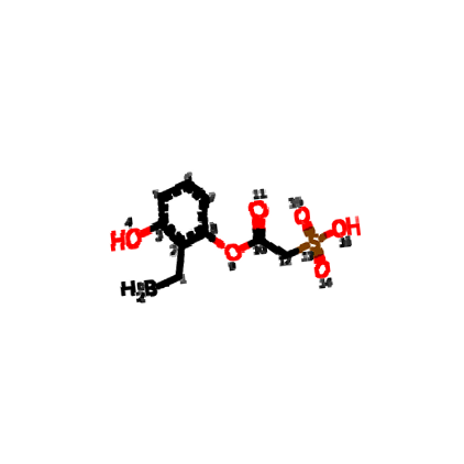 BCc1c(O)cccc1OC(=O)CS(=O)(=O)O